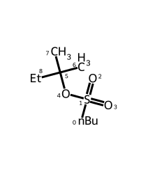 CCCCS(=O)(=O)OC(C)(C)CC